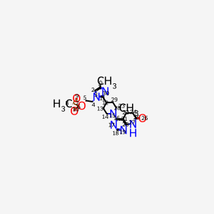 Cc1cn(CCOS(C)(=O)=O)c(C2CCN(c3ncnc4c3[C@H](C)CC(=O)N4)CC2)n1